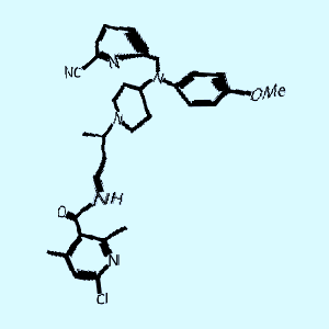 COc1ccc(N(Cc2cccc(C#N)n2)C2CCN([C@H](C)CCNC(=O)c3c(C)cc(Cl)nc3C)CC2)cc1